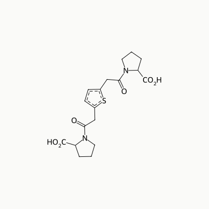 O=C(O)C1CCCN1C(=O)Cc1ccc(CC(=O)N2CCCC2C(=O)O)s1